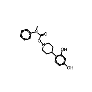 CN(C(=O)ON1CCC(c2ccc(O)cc2O)CC1)c1ccccc1